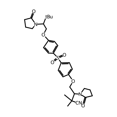 CC(C)(C)C(COc1ccc(S(=O)(=O)c2ccc(OCC(N3CCCC3=O)C(C)(C)C#N)cc2)cc1)N1CCCC1=O